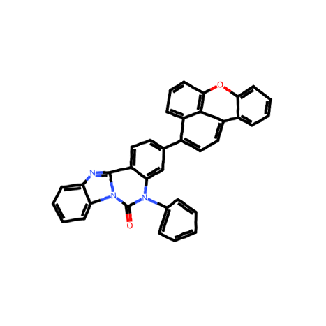 O=c1n(-c2ccccc2)c2cc(-c3ccc4c5c(cccc35)Oc3ccccc3-4)ccc2c2nc3ccccc3n12